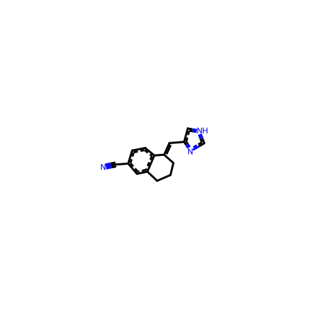 N#Cc1ccc2c(c1)CCC/C2=C\c1c[nH]cn1